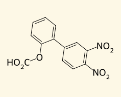 O=C(O)Oc1ccccc1-c1ccc([N+](=O)[O-])c([N+](=O)[O-])c1